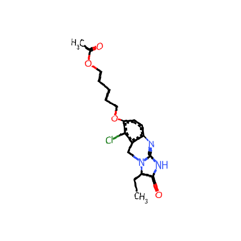 CCC1C(=O)NC2=Nc3ccc(OCCCCCOC(C)=O)c(Cl)c3CN21